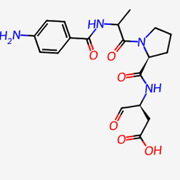 CC(NC(=O)c1ccc(N)cc1)C(=O)N1CCC[C@H]1C(=O)N[C@H](C=O)CC(=O)O